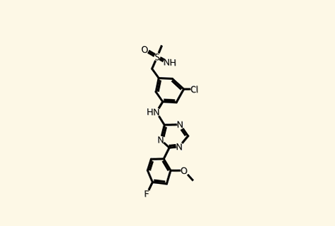 COc1cc(F)ccc1-c1ncnc(Nc2cc(Cl)cc(CS(C)(=N)=O)c2)n1